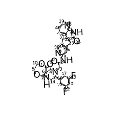 O=C(CN1C(=O)C2(COCCOC2)NCC1c1cc(F)cc(F)c1)Nc1cc2c(cn1)CC1(C2)C(=O)Nc2ncccc21